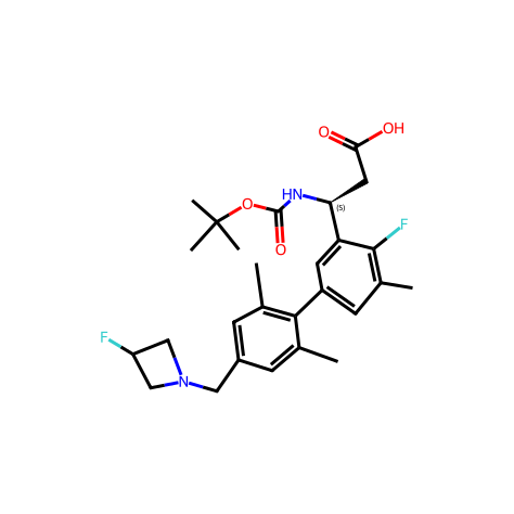 Cc1cc(-c2c(C)cc(CN3CC(F)C3)cc2C)cc([C@H](CC(=O)O)NC(=O)OC(C)(C)C)c1F